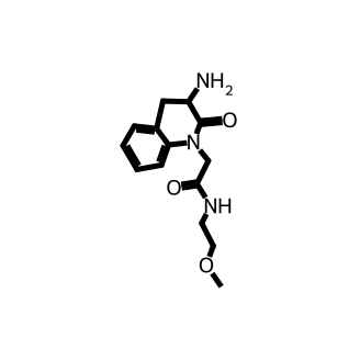 COCCNC(=O)CN1C(=O)C(N)Cc2ccccc21